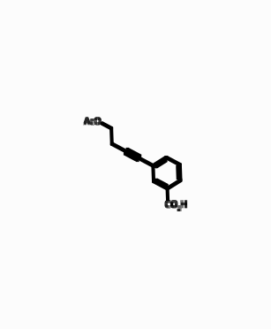 CC(=O)OCCC#Cc1cccc(C(=O)O)c1